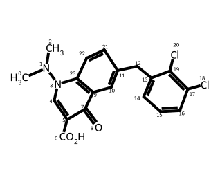 CN(C)n1cc(C(=O)O)c(=O)c2cc(Cc3cccc(Cl)c3Cl)ccc21